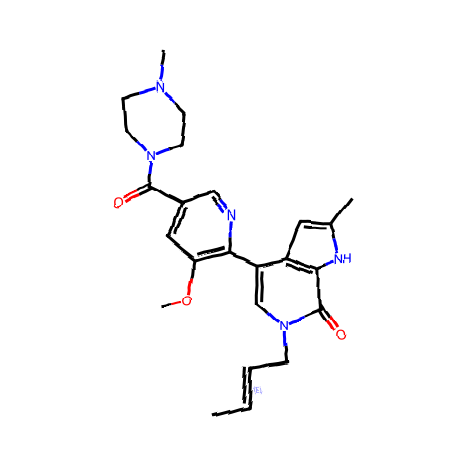 C/C=C/Cn1cc(-c2ncc(C(=O)N3CCN(C)CC3)cc2OC)c2cc(C)[nH]c2c1=O